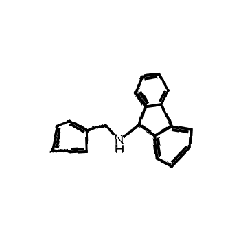 c1ccc(CNC2c3ccccc3-c3ccccc32)cc1